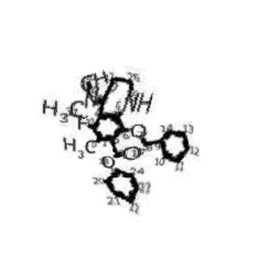 Cc1c(F)c2c(c(OCc3ccccc3)c1C(=O)Oc1ccccc1)NCCC2N(C)C